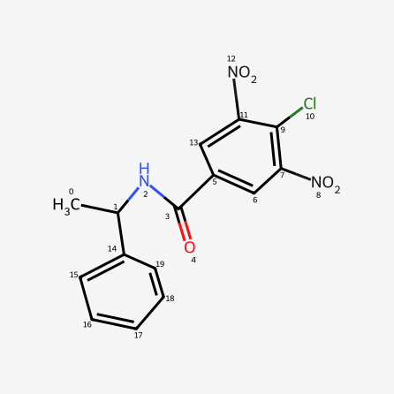 CC(NC(=O)c1cc([N+](=O)[O-])c(Cl)c([N+](=O)[O-])c1)c1ccccc1